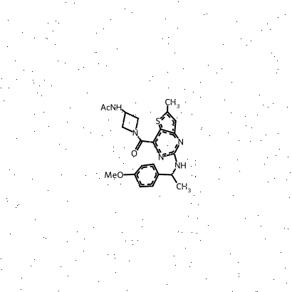 COc1ccc(C(C)Nc2nc(C(=O)N3CC(NC(C)=O)C3)c3sc(C)cc3n2)cc1